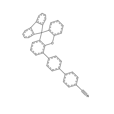 N#Cc1ccc(-c2ccc(-c3cccc4c3Oc3ccccc3C43c4ccccc4-c4ccccc43)cc2)cc1